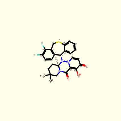 CC1(C)CC[C@@H]2N(C1)C(=O)c1c(O)c(=O)ccn1N2[C@@H]1c2ccccc2SCc2c1ccc(F)c2F